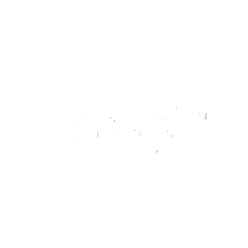 NCC1(C(=O)N2CCC[C@@H]2C(=O)Nc2nc3ccc(OC(F)(F)F)cc3s2)CCCC1